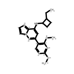 CCC1CCC1Nc1cc(-c2cnc(OC)nc2OC)nn2ccnc12